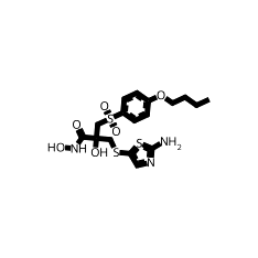 CCCCOc1ccc(S(=O)(=O)CC(O)(CSc2cnc(N)s2)C(=O)NO)cc1